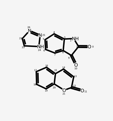 O=C1Nc2ccccc2C1=O.O=c1ccc2ccccc2o1.c1c[nH]nn1